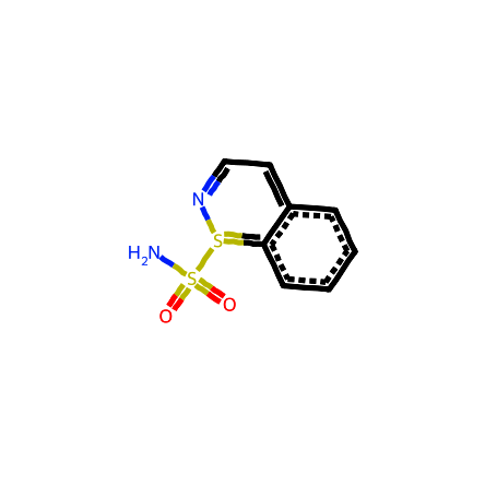 NS(=O)(=O)S1=c2ccccc2=CC=N1